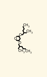 CCCCC(CC)CO[C@@H]1COC[C@H](OCC(CC)CCCC)C1